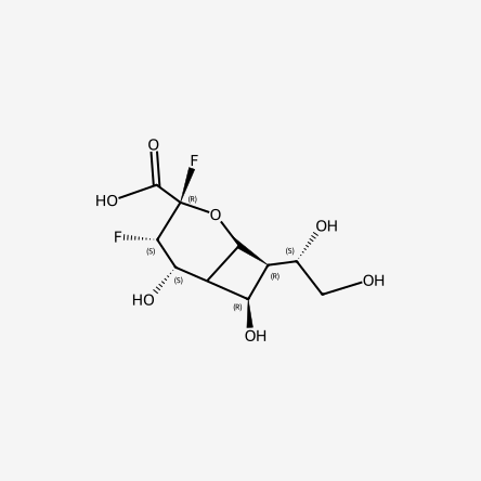 O=C(O)[C@]1(F)OC2C([C@H](O)[C@@H]2[C@H](O)CO)[C@H](O)[C@@H]1F